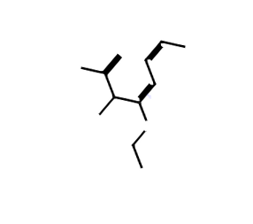 C=C(C)C(C)/C(=C\C=C/C)SCC